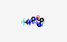 O=C(Cc1cccc(F)c1-c1ncccn1)N1CCCC(Nc2ncc(C(F)(F)F)cn2)C1